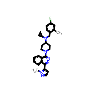 Cn1nccc1-c1nnc(N2CCC(N(Cc3ccc(F)cc3C(F)(F)F)C3CC3)CC2)c2ccccc12